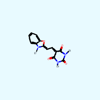 CCN1C(=O)C(=C/C=C2\Oc3ccccc3N2CC)C(=O)N(CC)C1=O